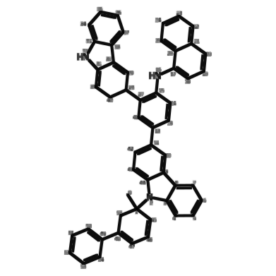 CC1(n2c3ccccc3c3cc(-c4ccc(Nc5cccc6ccccc56)c(C5C=c6c([nH]c7ccccc67)=CC5)c4)ccc32)C=CC=C(c2ccccc2)C1